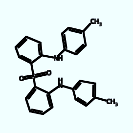 Cc1ccc(Nc2ccccc2S(=O)(=O)c2ccccc2Nc2ccc(C)cc2)cc1